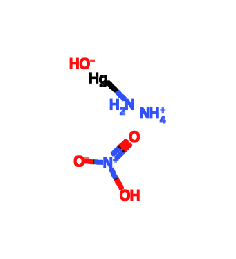 O=[N+]([O-])O.[NH2][Hg].[NH4+].[OH-]